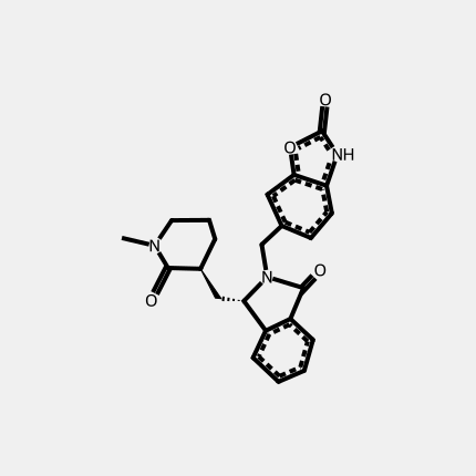 CN1CCC[C@@H](C[C@H]2c3ccccc3C(=O)N2Cc2ccc3[nH]c(=O)oc3c2)C1=O